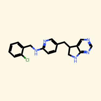 Clc1ccccc1CNc1ccc(CC2CNc3ncncc32)cn1